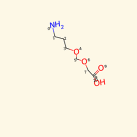 NCCCOCOCC(=O)O